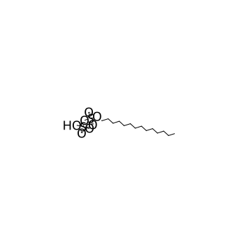 CCCCCCCCCCCCCCOS(=O)(=O)OS(=O)(=O)O